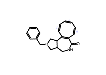 O=C1NCC2CN(Cc3ccccc3)CC2C2=C1\C=C/C=C\C=C/2